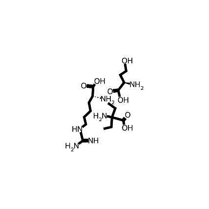 CCC(N)(CC)C(=O)O.N=C(N)NCCCC[C@@H](N)C(=O)O.N[C@H](CCO)C(=O)O